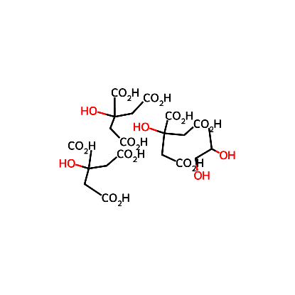 CC(O)CO.O=C(O)CC(O)(CC(=O)O)C(=O)O.O=C(O)CC(O)(CC(=O)O)C(=O)O.O=C(O)CC(O)(CC(=O)O)C(=O)O